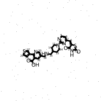 O=C1NC(=O)/C(=C\c2ccnc(N3CCC(CNCc4cnc(-c5ccsc5)c(C(=O)O)c4)CC3)n2)S1